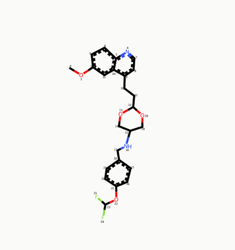 COc1ccc2nccc(CCC3OCC(NCc4ccc(OC(F)F)cc4)CO3)c2c1